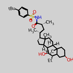 CC[C@@H]1C2C[C@H](O)CCC2(C)[C@H]2CCC3(C)[C@@H]([C@H](C)C[C@@H](C)C(=O)NS(=O)(=O)c4ccc(C(C)(C)C)cc4)CC[C@H]3[C@@H]2[C@@H]1O